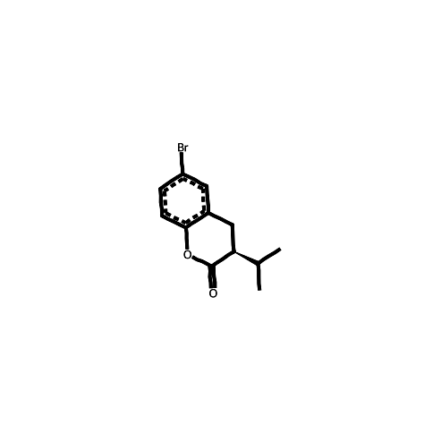 CC(C)[C@@H]1Cc2cc(Br)ccc2OC1=O